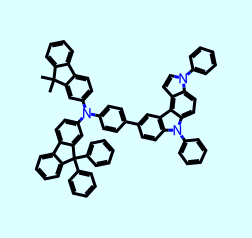 CC1(C)c2ccccc2-c2ccc(N(c3ccc(-c4ccc5c(c4)c4c6ccn(-c7ccccc7)c6ccc4n5-c4ccccc4)cc3)c3ccc4c(c3)C(c3ccccc3)(c3ccccc3)c3ccccc3-4)cc21